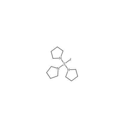 IS(N1CCCC1)(N1CCCC1)N1CCCC1